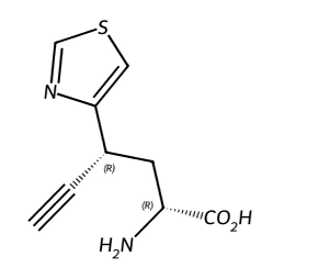 C#C[C@@H](C[C@@H](N)C(=O)O)c1cscn1